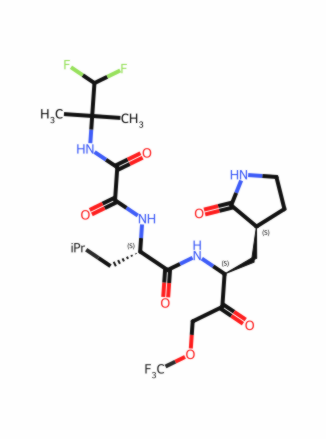 CC(C)C[C@H](NC(=O)C(=O)NC(C)(C)C(F)F)C(=O)N[C@@H](C[C@@H]1CCNC1=O)C(=O)COC(F)(F)F